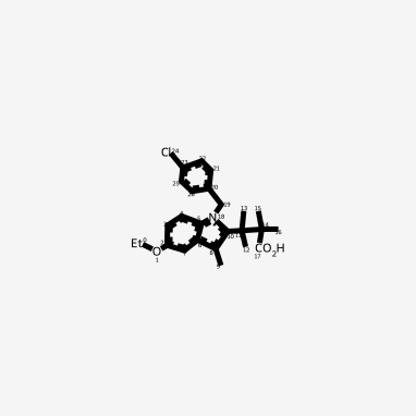 CCOc1ccc2c(c1)c(C)c(C(C)(C)C(C)(C)C(=O)O)n2Cc1ccc(Cl)cc1